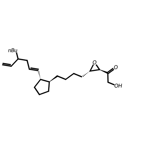 C=CC(CC=C[C@H]1CCC[C@@H]1CCCC[C@@H]1O[C@H]1C(=O)CO)CCCC